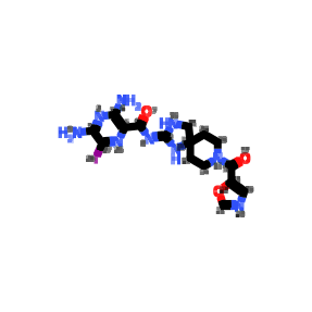 Nc1nc(N)c(C(=O)/N=C2\NCC3(CCN(C(=O)c4cnco4)CC3)N2)nc1I